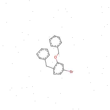 Brc1ccc(Cc2ccccc2)c(OCc2ccccc2)c1